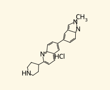 Cl.Cn1cc2cc(-c3ccc4nc(C5CCNCC5)ccc4c3)ccc2n1